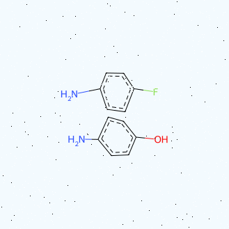 Nc1ccc(F)cc1.Nc1ccc(O)cc1